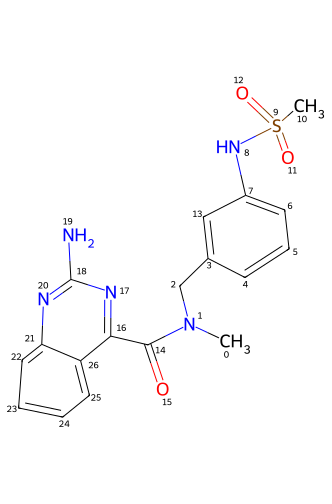 CN(Cc1cccc(NS(C)(=O)=O)c1)C(=O)c1nc(N)nc2ccccc12